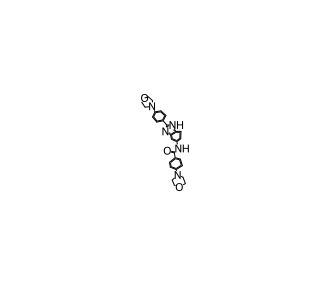 O=C(Nc1ccc2[nH]c(-c3ccc(N4CCOCC4)cc3)nc2c1)c1ccc(N2CCOCC2)cc1